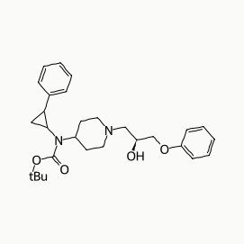 CC(C)(C)OC(=O)N(C1CCN(C[C@H](O)COc2ccccc2)CC1)C1CC1c1ccccc1